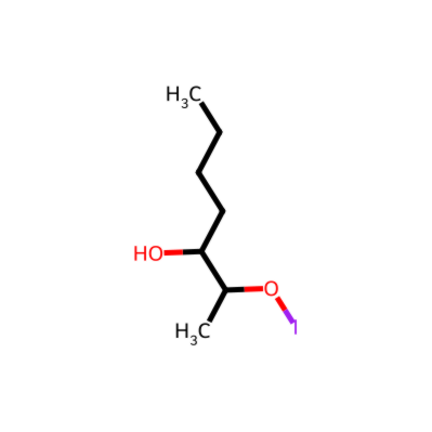 CCCCC(O)C(C)OI